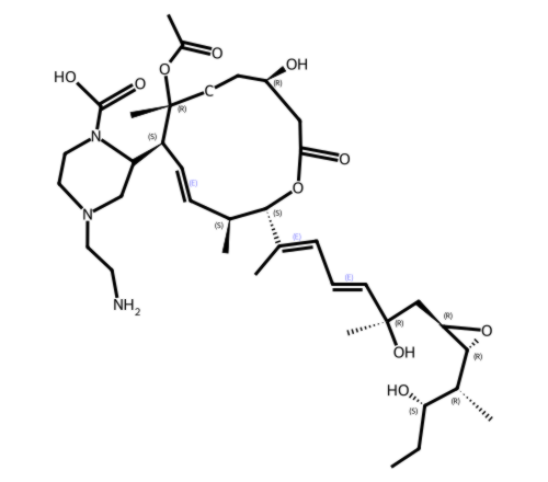 CC[C@H](O)[C@@H](C)[C@H]1O[C@@H]1C[C@@](C)(O)/C=C/C=C(\C)[C@H]1OC(=O)C[C@H](O)CC[C@@](C)(OC(C)=O)[C@H](C2CN(CCN)CCN2C(=O)O)/C=C/[C@@H]1C